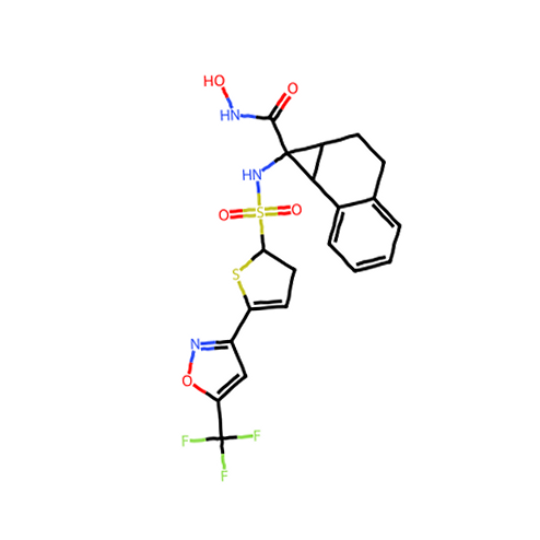 O=C(NO)C1(NS(=O)(=O)C2CC=C(c3cc(C(F)(F)F)on3)S2)C2CCc3ccccc3C21